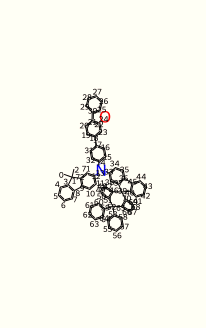 CC1(C)c2ccccc2-c2ccc(N(c3ccc(-c4ccc5c(c4)oc4ccccc45)cc3)c3ccc4c(c3)C3(c5ccccc5-4)c4ccccc4C(c4ccccc4)(c4ccccc4)c4ccccc43)cc21